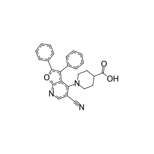 N#Cc1cnc2oc(-c3ccccc3)c(-c3ccccc3)c2c1N1CCC(C(=O)O)CC1